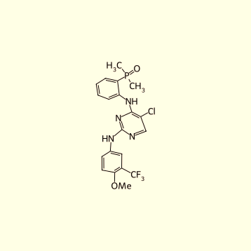 COc1ccc(Nc2ncc(Cl)c(Nc3ccccc3P(C)(C)=O)n2)cc1C(F)(F)F